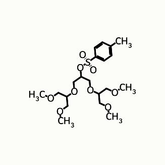 COCC(COC)OCC(COC(COC)COC)OS(=O)(=O)c1ccc(C)cc1